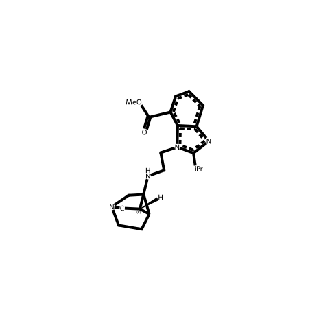 COC(=O)c1cccc2nc(C(C)C)n(CCN[C@H]3CN4CCC3CC4)c12